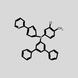 Cc1ccc(N(c2ccc(-c3ccccn3)cc2)c2cc(-c3ccccc3)cc(-c3ccccc3)c2)cc1Cl